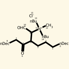 CCCCCCCCCCCCCC(C(=O)CCCCCCCCCCC)C(C=O)[N+](C)(CCCC)CCCC.[Cl-]